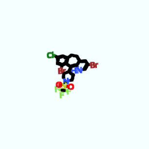 O=S(=O)(N1CCC(C2=C3NC=C(Br)C=C3CCc3cc(Cl)cc(Br)c32)CC1)C(F)(F)F